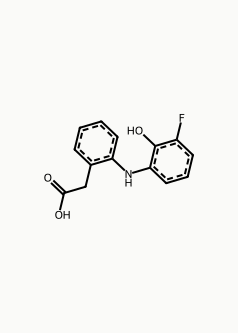 O=C(O)Cc1ccccc1Nc1cccc(F)c1O